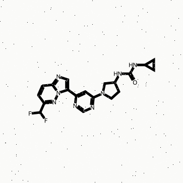 O=C(NC1CC1)NC1CCN(c2cc(-c3cnc4ccc(C(F)F)nn34)ncn2)C1